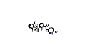 O=C(C/C1=C/C=N\C(Cl)=C/CC1)c1cccc(NS(=O)(=O)c2c(F)cccc2F)c1F